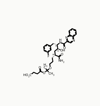 CC(C)(OCCC[C@H](C[C@H](O)[C@H](Cc1cccc(F)c1)NC(=O)c1cnc2ccccc2n1)C(N)=O)OC(=O)CCC(=O)O